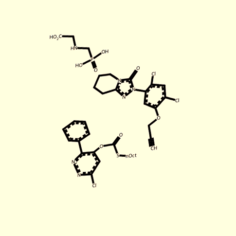 C#CCOc1cc(-n2nc3n(c2=O)CCCC3)c(Cl)cc1Cl.CCCCCCCCSC(=O)Oc1cc(Cl)nnc1-c1ccccc1.O=C(O)CNCP(=O)(O)O